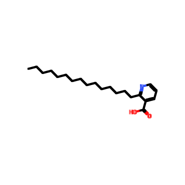 CCCCCCCCCCCCCCCc1ncccc1C(=O)O